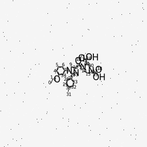 CCOc1cccc(-n2cc(C(=O)N3CCN(C(=O)O)C[C@@H]3C(=O)O)nc2-c2ccc(C)cc2)c1